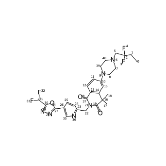 CCC(F)(F)CN1CCN(c2ccc3c(c2)C(C)(C)C(=O)N(Cc2ccc(-c4nnc(C(F)F)o4)cn2)C3=O)CC1